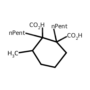 CCCCCC1(C(=O)O)CCCC(C)C1(CCCCC)C(=O)O